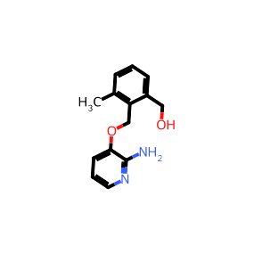 Cc1cccc(CO)c1COc1cccnc1N